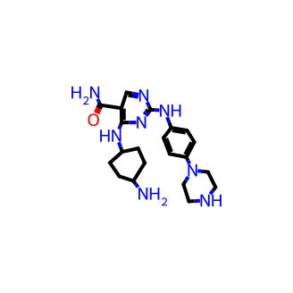 NC(=O)c1cnc(Nc2ccc(N3CCNCC3)cc2)nc1NC1CCC(N)CC1